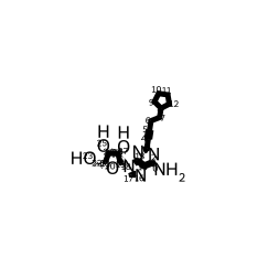 Nc1nc(C#CCCC2CCCC2)nc2c1ncn2[C@@H]1O[C@H](CO)[C@@H](O)[C@H]1O